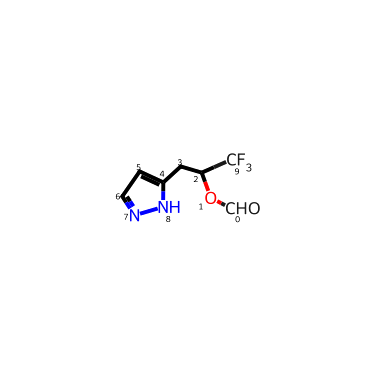 O=COC(Cc1ccn[nH]1)C(F)(F)F